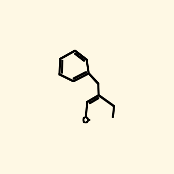 CCC(=C[O])Cc1ccccc1